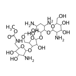 COC(=O)NCC1OC(OC2C(COCCO)OC(OC3C(O)C(N)CC(N)C3OC3OC(CO)C(O)C(O)C3N)C2O)C(N)C(O)C1O